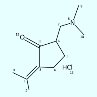 CC(C)=C1CCC(CN(C)C)C1=O.Cl